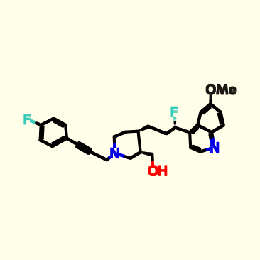 COc1ccc2nccc([C@@H](F)CC[C@@H]3CCN(CC#Cc4ccc(F)cc4)C[C@@H]3CO)c2c1